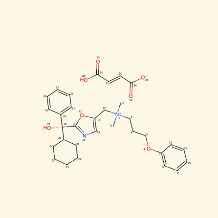 C[N+](C)(CCCOc1ccccc1)Cc1cnc([C@](O)(c2ccccc2)C2CCCCC2)o1.O=C([O-])C=CC(=O)O